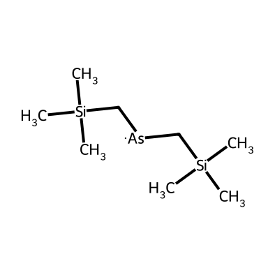 C[Si](C)(C)C[As]C[Si](C)(C)C